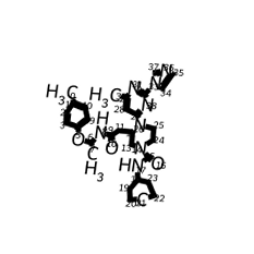 Cc1ccc(OC(C)NC(=O)CC2CN(C(=O)NC3CCCCC3)CCN2c2cc(C)nc(-n3ccnc3)n2)cc1